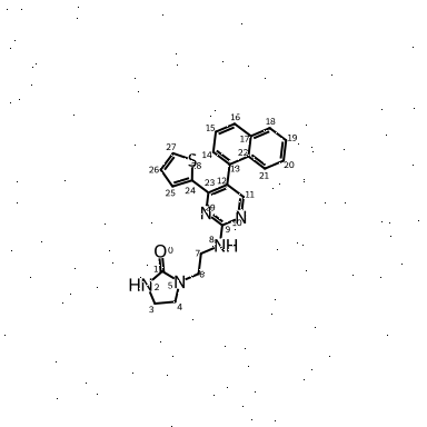 O=C1NCCN1CCNc1ncc(-c2cccc3ccccc23)c(-c2cccs2)n1